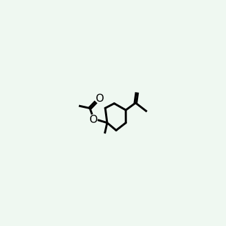 C=C(C)C1CCC(C)(OC(C)=O)CC1